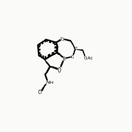 CC(=O)OC[C@@H]1COc2cccc3c2B(OC3CNCl)O1